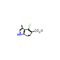 Cc1c[nH]c2ccc(C(=O)O)c(Cl)c12